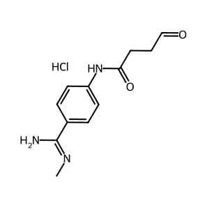 CN=C(N)c1ccc(NC(=O)CCC=O)cc1.Cl